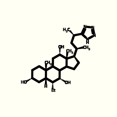 CC[C@H]1[C@@H](O)C2C3CC[C@H]([C@H](C)C[C@H](C)c4nnn[nH]4)[C@@]3(C)[C@@H](O)CC2[C@@]2(C)CC[C@@H](O)C[C@@H]12